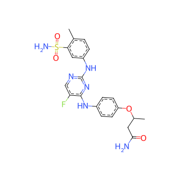 Cc1ccc(Nc2ncc(F)c(Nc3ccc(OC(C)CC(N)=O)cc3)n2)cc1S(N)(=O)=O